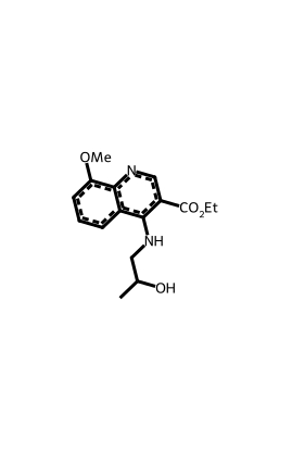 CCOC(=O)c1cnc2c(OC)cccc2c1NCC(C)O